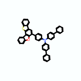 c1ccc(-c2ccc(N(c3ccc(-c4ccccc4)cc3)c3ccc(-c4cc5c6ccccc6sc5c5c4oc4ccccc45)cc3)cc2)cc1